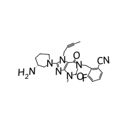 CC#CCn1c(N2CCC[C@@H](N)C2)nc2c1c(=O)n(Cc1c(F)cccc1C#N)c(=O)n2C